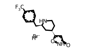 O=c1cc([C@H]2CCN[C@H](Cc3ccc(C(F)(F)F)cc3)C2)o[nH]1.[Br-].[H+]